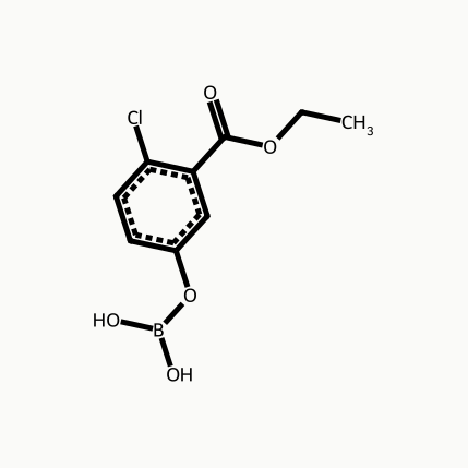 CCOC(=O)c1cc(OB(O)O)ccc1Cl